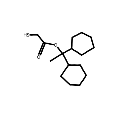 CC(OC(=O)CS)(C1CCCCC1)C1CCCCC1